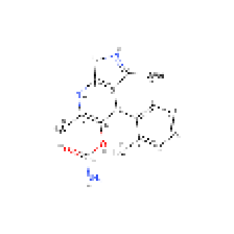 COC1=NCC2=C1C(c1ccccc1C(F)(F)F)C(OC(N)=O)=C(C)N2